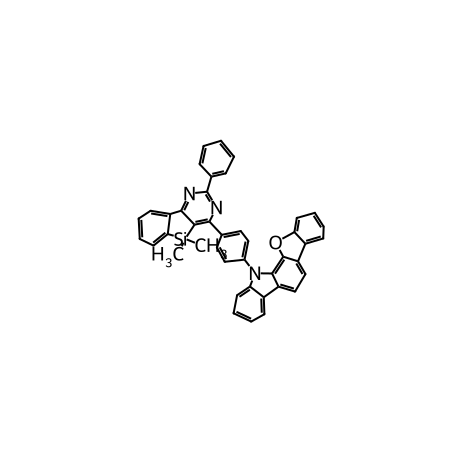 C[Si]1(C)c2ccccc2-c2nc(-c3ccccc3)nc(-c3ccc(-n4c5ccccc5c5ccc6c7ccccc7oc6c54)cc3)c21